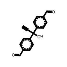 C#CC(O)(c1ccc(C=O)cc1)c1ccc(C=O)cc1